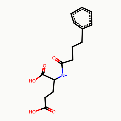 O=C(O)CCC(NC(=O)CCCc1ccccc1)C(=O)O